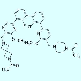 COc1nc(-c2cccc(-c3cccc(-c4cnc(CN5CC6(C5)CN(C(C)=O)C6)c(OC)n4)c3F)c2Cl)ccc1CN1CCN(C(C)=O)CC1